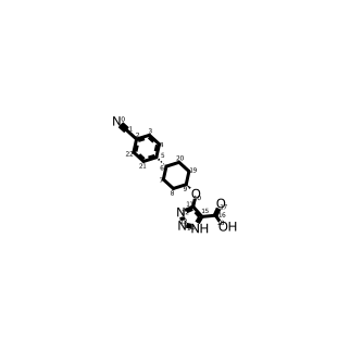 N#Cc1ccc([C@H]2CC[C@@H](Oc3nn[nH]c3C(=O)O)CC2)cc1